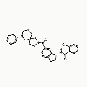 O=C(N[C@@H]1CCc2ccc(C(=O)N3CCC4(CCCN(c5ccncc5)C4)C3)cc21)c1ccccc1Cl